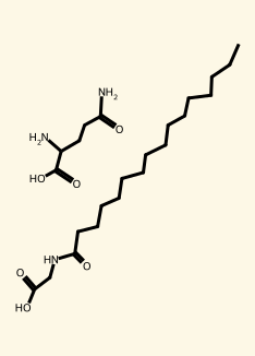 CCCCCCCCCCCCCCCC(=O)NCC(=O)O.NC(=O)CCC(N)C(=O)O